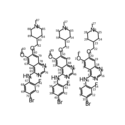 COc1cc2c(Nc3ccc(Br)cc3F)ncnc2cc1OCC1CCN(C)CC1.COc1cc2c(Nc3ccc(Br)cc3F)ncnc2cc1OCC1CCN(C)CC1.COc1cc2c(Nc3ccc(Br)cc3F)ncnc2cc1OCC1CCN(C)CC1